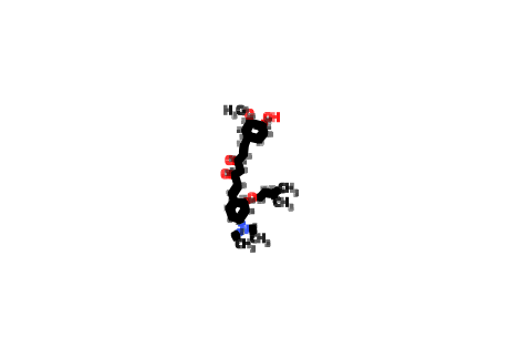 CCN(CC)c1ccc(C=CC(=O)CC(=O)C=Cc2ccc(O)c(OC)c2)c(OCC=C(C)C)c1